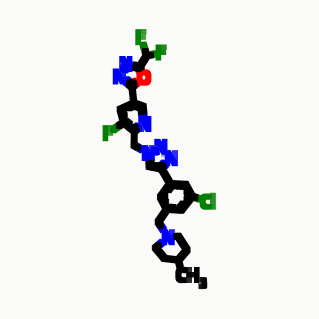 CC1CCN(Cc2cc(Cl)cc(-c3cn(Cc4ncc(-c5nnc(C(F)F)o5)cc4F)nn3)c2)CC1